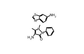 Cc1c(N)c(=O)n(-c2ccccc2)n1C.Nc1ccc2ncsc2c1